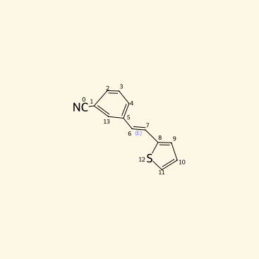 N#Cc1cccc(/C=C/c2cccs2)c1